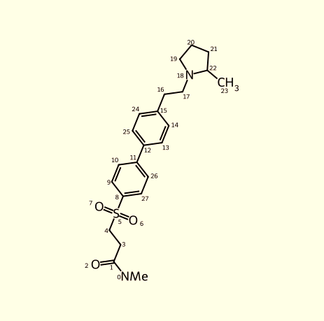 CNC(=O)CCS(=O)(=O)c1ccc(-c2ccc(CCN3CCCC3C)cc2)cc1